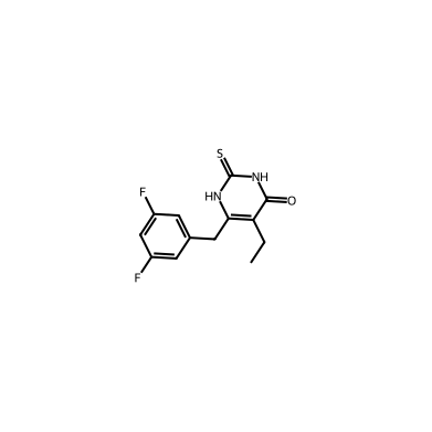 CCc1c(Cc2cc(F)cc(F)c2)[nH]c(=S)[nH]c1=O